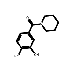 O=C(c1ccc(O)c(O)c1)N1CCCCC1